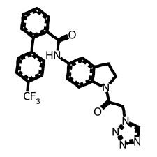 O=C(Nc1ccc2c(c1)CCN2C(=O)Cn1cnnn1)c1ccccc1-c1ccc(C(F)(F)F)cc1